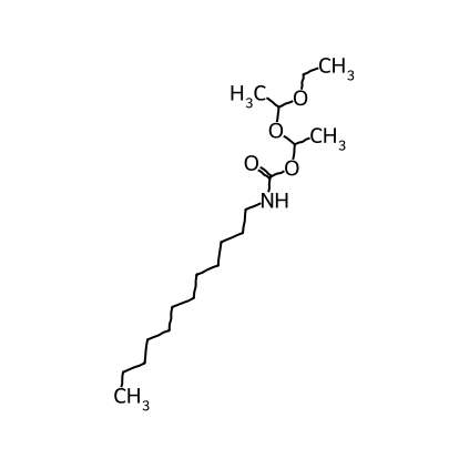 CCCCCCCCCCCCNC(=O)OC(C)OC(C)OCC